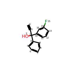 C#CC(O)(c1ccccc1)c1cccc(F)c1